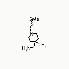 CSSCN1CCC(C)(CN)CC1